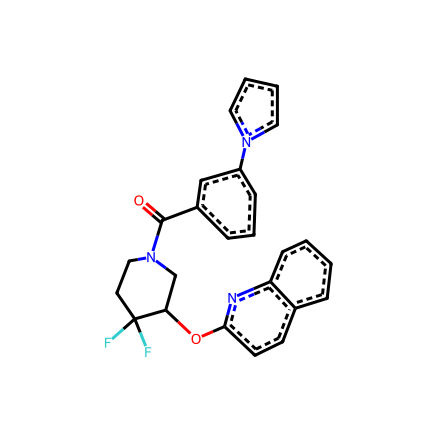 O=C(c1cccc(-n2cccc2)c1)N1CCC(F)(F)C(Oc2ccc3ccccc3n2)C1